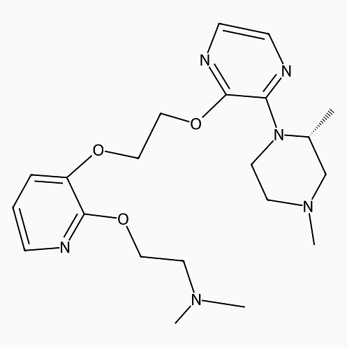 C[C@@H]1CN(C)CCN1c1nccnc1OCCOc1cccnc1OCCN(C)C